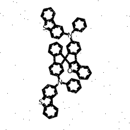 c1ccc(N(c2ccc3c(c2)C2(c4ccccc4-3)c3cc(N(c4ccccc4)c4ccc5sc6ccccc6c5c4)ccc3-c3c2oc2ccccc32)c2ccc3sc4ccccc4c3c2)cc1